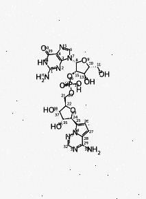 Nc1nc2c(ncn2[C@@H]2O[C@H](CO)[C@@H](O)[C@H]2OP(=O)(O)OC[C@H]2O[C@@H](c3ccc4c(N)ncnn34)[C@H](O)[C@@H]2O)c(=O)[nH]1